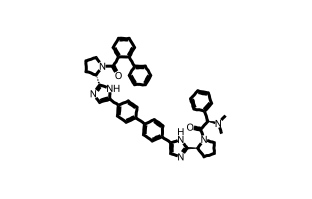 CN(C)[C@@H](C(=O)N1CCC[C@H]1c1ncc(-c2ccc(-c3ccc(-c4cnc([C@@H]5CCCN5C(=O)c5ccccc5-c5ccccc5)[nH]4)cc3)cc2)[nH]1)c1ccccc1